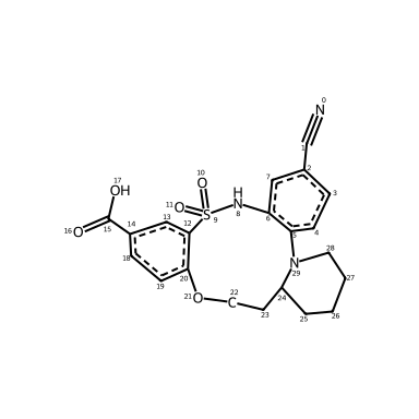 N#Cc1ccc2c(c1)NS(=O)(=O)c1cc(C(=O)O)ccc1OCCC1CCCCN21